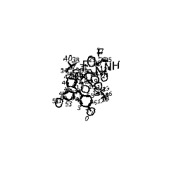 COc1ccc(C(OC[C@]2(CO[Si](C)(C)C(C)(C)C)O[C@@H](n3c(=O)[nH]cc(F)c3=O)[C@@H](F)[C@@H]2O[Si](C)(C)C(C)(C)C)(c2ccccc2)c2ccc(OC)cc2)cc1